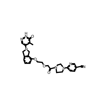 Cc1c(N2Cc3cccc(OCCOCC(=O)N4CCN(c5ccc(C#N)cn5)CC4)c3C2)cn[nH]c1=O